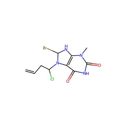 C=CCC(Cl)N1c2c(n(C)c(=O)[nH]c2=O)NC1Br